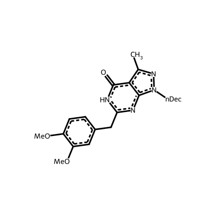 CCCCCCCCCCn1nc(C)c2c(=O)[nH]c(Cc3ccc(OC)c(OC)c3)nc21